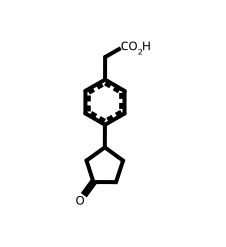 O=C(O)Cc1ccc(C2CCC(=O)C2)cc1